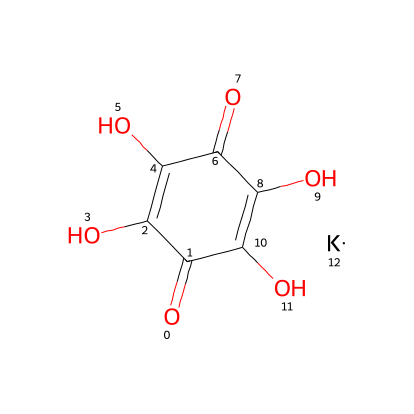 O=C1C(O)=C(O)C(=O)C(O)=C1O.[K]